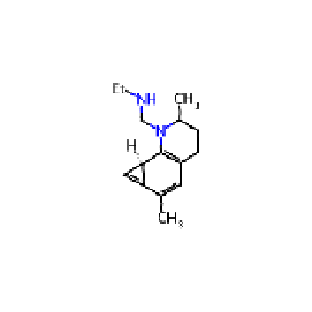 CCNCN1C2=C(C=C(C)C3=C[C@H]32)CCC1C